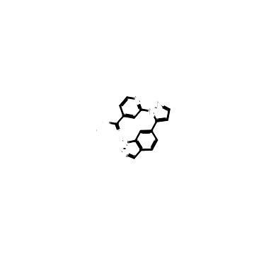 COC(=O)c1ccnc(-n2nccc2-c2ccc3cn[nH]c3c2)c1